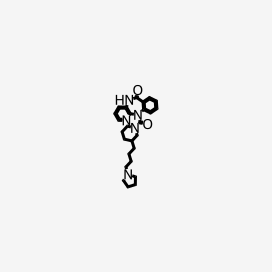 O=C1Nc2cccnc2N(C(=O)N2CCCC(CCCCN3CCCC3)C2)c2ccccc21